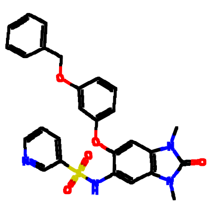 Cn1c(=O)n(C)c2cc(Oc3cccc(OCc4ccccc4)c3)c(NS(=O)(=O)c3cccnc3)cc21